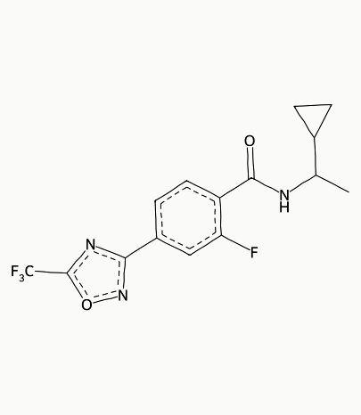 CC(NC(=O)c1ccc(-c2noc(C(F)(F)F)n2)cc1F)C1CC1